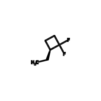 CC[C@H]1CCC1(F)F